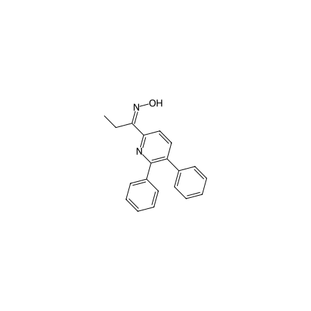 CC/C(=N/O)c1ccc(-c2ccccc2)c(-c2ccccc2)n1